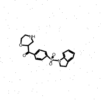 O=C(c1ccc(S(=O)(=O)N2CCc3ccccc32)cc1)C1CNCCO1